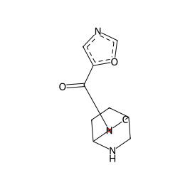 O=C(c1cnco1)N1CC2CCC(C1)NC2